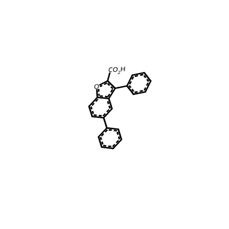 O=C(O)c1oc2ccc(-c3ccccc3)cc2c1-c1ccccc1